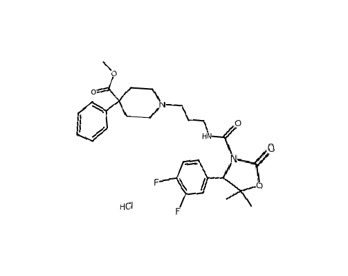 COC(=O)C1(c2ccccc2)CCN(CCCNC(=O)N2C(=O)OC(C)(C)C2c2ccc(F)c(F)c2)CC1.Cl